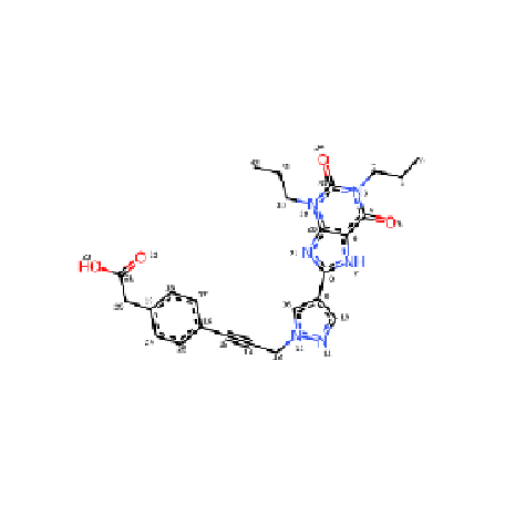 CCCn1c(=O)c2[nH]c(-c3cnn(CC#Cc4ccc(CC(=O)O)cc4)c3)nc2n(CCC)c1=O